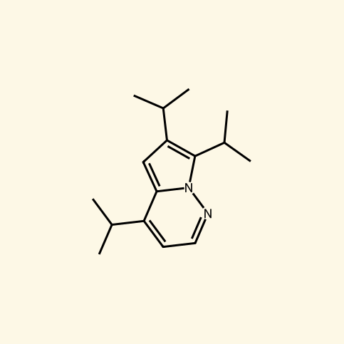 CC(C)c1cc2c(C(C)C)ccnn2c1C(C)C